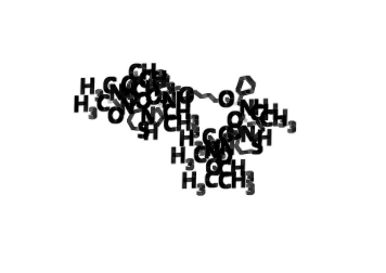 C[C@@H](C(=O)N[C@H]1CCS[C@H]2CC(C)(C)[C@@H](C(=O)N[C@H](COCCCCOC[C@@H](NC(=O)[C@H]3N4C(=O)[C@@H](NC(=O)[C@H](C)N(C)C(=O)OC(C)(C)C)CCS[C@H]4CC3(C)C)c3ccccc3)c3ccccc3)N2C1=O)N(C)C(=O)OC(C)(C)C